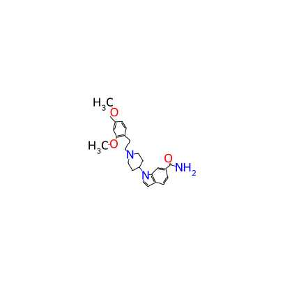 COCc1ccc(CCN2CCC(n3ccc4ccc(C(N)=O)cc43)CC2)c(OC)c1